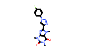 Cn1c(=O)c2c(nc(-c3cn(-c4ccc(F)cc4)nn3)n2C)n(C)c1=O